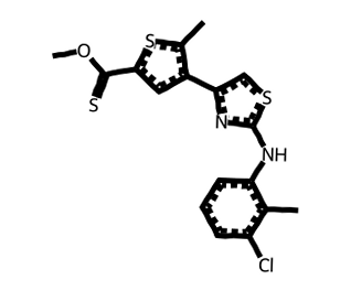 COC(=S)c1cc(-c2csc(Nc3cccc(Cl)c3C)n2)c(C)s1